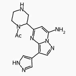 CC(=O)N1CCNCC1c1cc(N)n2ncc(-c3cn[nH]c3)c2n1